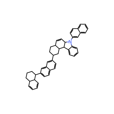 C1=CC2CCCC(c3ccc4ccc(C5CCC6C=CC7C(c8ccccc8N7c7ccc8ccccc8c7)C6C5)cc4c3)C2C=C1